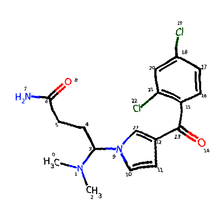 CN(C)C(CCC(N)=O)n1ccc(C(=O)c2ccc(Cl)cc2Cl)c1